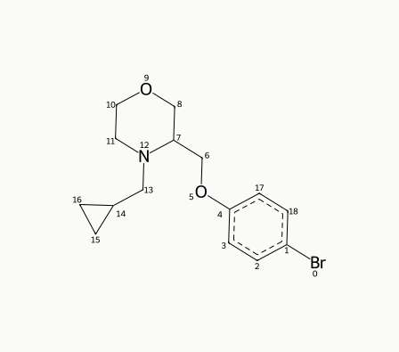 Brc1ccc(OCC2COCCN2CC2CC2)cc1